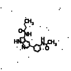 CCCC(=O)Nc1c[nH]c2ncc(-c3cccc(NC(C)=O)c3)cc12